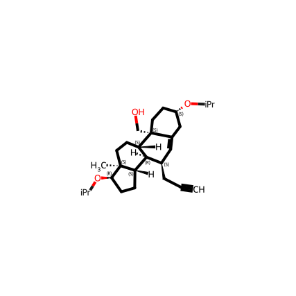 C#CC[C@@H]1C=C2C[C@@H](OC(C)C)CC[C@]2(CO)[C@H]2CC[C@]3(C)[C@H](OC(C)C)CC[C@H]3[C@H]12